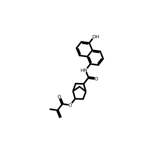 C=C(C)C(=O)OC1CC2CC1CC2C(=O)Nc1cccc2c(O)cccc12